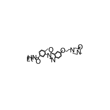 CCNC(=O)c1ccc(C)c(-n2cnc3ccc(OCCN4CCN(C)C(=O)C4)cc3c2=O)c1